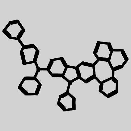 c1ccc(-c2ccc(N(c3ccccc3)c3ccc4c5cc6c(cc5n(-c5ccccc5)c4c3)-c3ccccc3-c3cccc4cccc-6c34)cc2)cc1